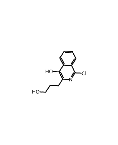 OCCCc1nc(Cl)c2ccccc2c1O